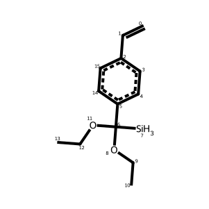 C=Cc1ccc(C([SiH3])(OCC)OCC)cc1